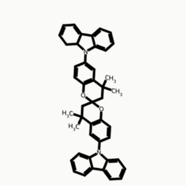 CC1(C)CC2(CC(C)(C)c3cc(-n4c5ccccc5c5ccccc54)ccc3O2)Oc2ccc(N3c4ccccc4C4=CC=CCC43)cc21